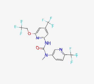 CN(C(=O)Nc1cc(C(F)(F)F)cc(OCC(F)(F)F)n1)c1ccc(C(F)(F)F)nc1